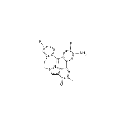 Cn1cc2c(=O)n(C)cc(-c3cc(N)c(F)cc3Nc3ccc(F)cc3F)c2n1